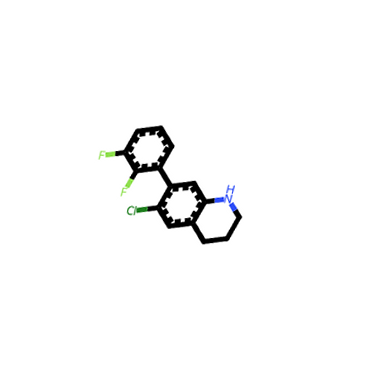 Fc1cccc(-c2cc3c(cc2Cl)CCCN3)c1F